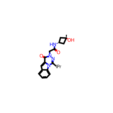 CC(C)c1nn(CC(=O)N[C@H]2C[C@@](C)(O)C2)c(=O)c2cc3ccccc3n12